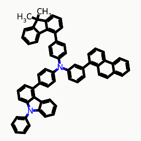 CC1(C)c2ccccc2-c2c(-c3ccc(N(c4ccc(-c5cccc6c5c5ccccc5n6-c5ccccc5)cc4)c4cccc(-c5cccc6c5ccc5ccccc56)c4)cc3)cccc21